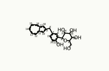 OCC1OC(c2cc(Cc3cc4cccccc-4c3)ccc2O)C(O)C(O)C1O